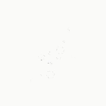 C=Nc1ccsc1/C(=N\CNc1ccc(N2CCC(N3CCCC3)CC2)cc1OC)Sc1ccccc1C(=O)OC